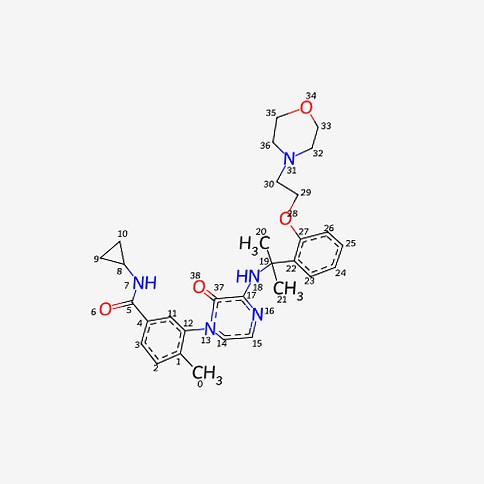 Cc1ccc(C(=O)NC2CC2)cc1-n1ccnc(NC(C)(C)c2ccccc2OCCN2CCOCC2)c1=O